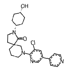 O=C1N([C@H]2CC[C@@H](O)CC2)CCC12CCCN(c1ncc(-c3ccncc3)cc1Cl)C2